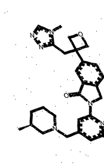 Cc1cc(CN2CCC[C@H](C)C2)cc(N2Cc3ccc(C4(Cc5nncn5C)COC4)cc3C2=O)n1